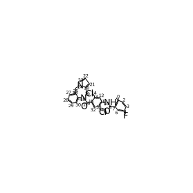 Cc1ccc(F)cc1C(=O)Nc1cc(Cl)c(C(=O)N2Cc3cccn3Cc3ccccc32)cc1Cl